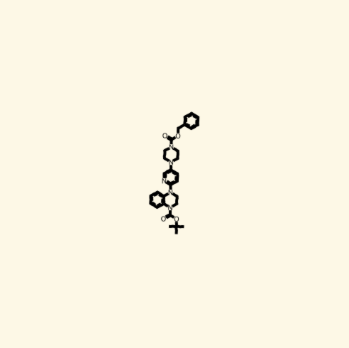 CC(C)(C)OC(=O)N1CCN(c2ccc(N3CCN(C(=O)OCc4ccccc4)CC3)cn2)c2ccccc21